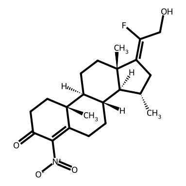 C[C@H]1CC(=C(F)CO)[C@@]2(C)CC[C@H]3[C@@H](CCC4=C([N+](=O)[O-])C(=O)CC[C@@]43C)[C@H]12